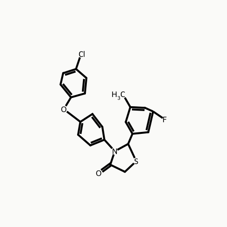 Cc1cc(F)cc(C2SCC(=O)N2c2ccc(Oc3ccc(Cl)cc3)cc2)c1